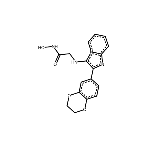 O=C(CNc1c(-c2ccc3c(c2)OCCO3)nc2ccccn12)NO